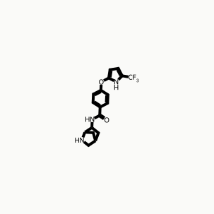 O=C(NC1CC2CNC1C2)c1ccc(Oc2ccc(C(F)(F)F)[nH]2)cc1